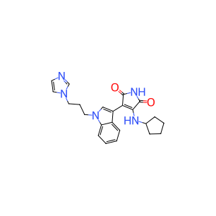 O=C1NC(=O)C(c2cn(CCCn3ccnc3)c3ccccc23)=C1NC1CCCC1